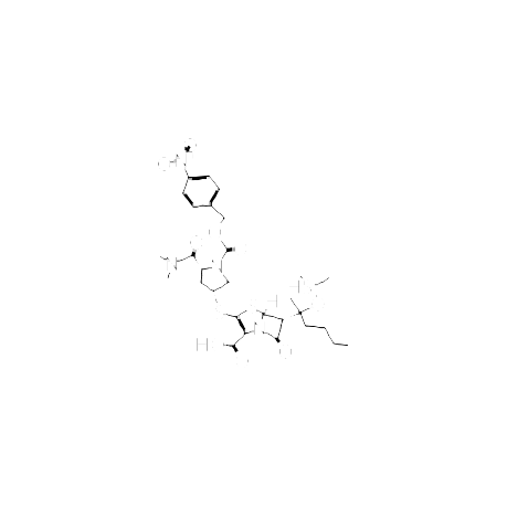 CCCCC(C)(O[SiH](C)C)[C@H]1C(=O)N2C(C(=O)O)=C(S[C@H]3C[C@@H](C(=O)N(C)C)N(C(=O)OCc4ccc([N+](=O)[O-])cc4)C3)S[C@H]12